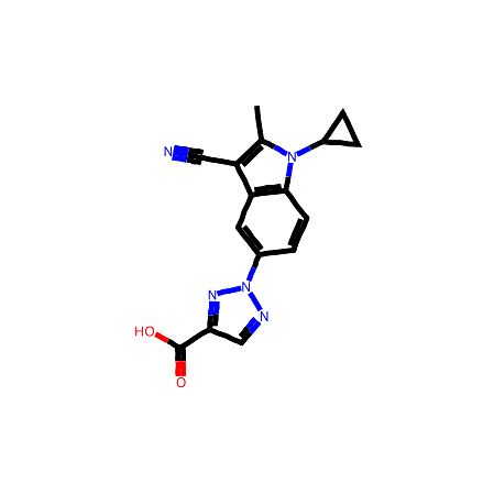 Cc1c(C#N)c2cc(-n3ncc(C(=O)O)n3)ccc2n1C1CC1